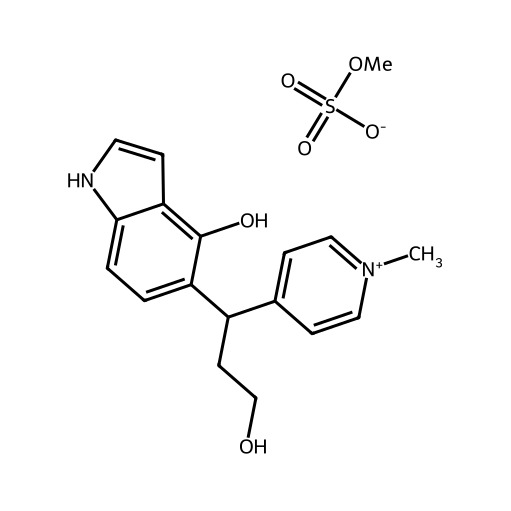 COS(=O)(=O)[O-].C[n+]1ccc(C(CCO)c2ccc3[nH]ccc3c2O)cc1